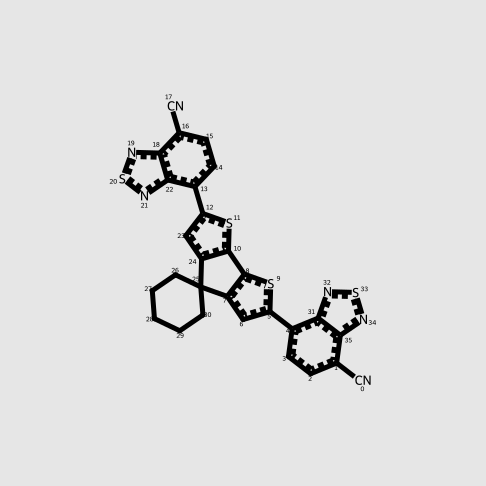 N#Cc1ccc(-c2cc3c(s2)-c2sc(-c4ccc(C#N)c5nsnc45)cc2C32CCCCC2)c2nsnc12